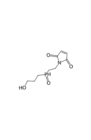 O=C1C=CC(=O)N1CC[PH](=O)CCCO